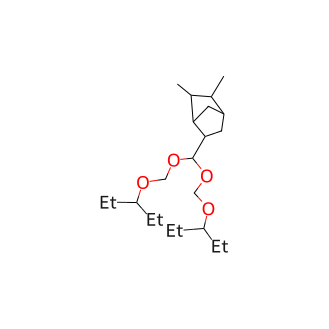 CCC(CC)OCOC(OCOC(CC)CC)C1CC2CC1C(C)C2C